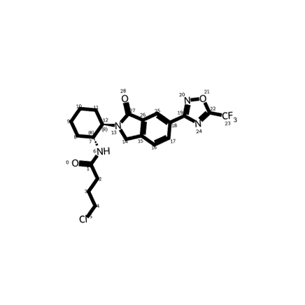 O=C(CCCCl)N[C@@H]1CCCC[C@H]1N1Cc2ccc(-c3noc(C(F)(F)F)n3)cc2C1=O